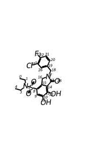 CCN(CC)S(=O)(=O)c1cc(O)c(O)c2c1CN(Cc1ccc(F)c(Cl)c1)C2=O